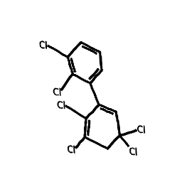 ClC1=C(Cl)C(c2cccc(Cl)c2Cl)=CC(Cl)(Cl)C1